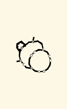 CN1CCN2CCOCCOCCN(CCOCC2)CCN(C)Cc2cccc(n2)C1